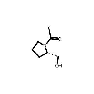 [CH2]C(=O)N1CCC[C@H]1CO